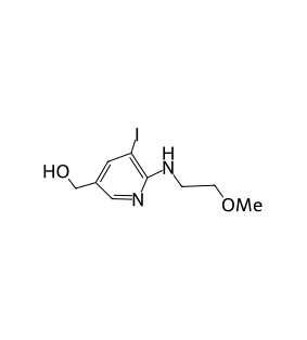 COCCNc1ncc(CO)cc1I